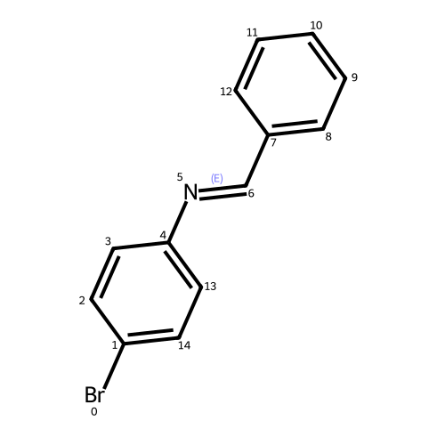 Brc1ccc(/N=C/c2ccccc2)cc1